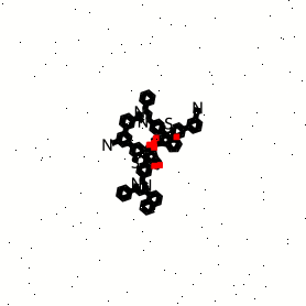 N#Cc1cccc(-c2ccc3c(c2)Sc2cc(-c4cc(-c5ccccc5)nc(-c5cccc(-c6cc(C#N)cc(-c7ccc8c(c7)Sc7cc(-c9nc(-c%10ccccc%10)cc(-c%10cccc%11ccccc%10%11)n9)ccc7C87c8ccccc8-c8ccccc87)c6)c5)n4)ccc2C32c3ccccc3-c3ccccc32)c1